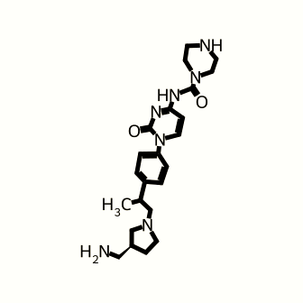 CC(CN1CC[C@@H](CN)C1)c1ccc(-n2ccc(NC(=O)N3CCNCC3)nc2=O)cc1